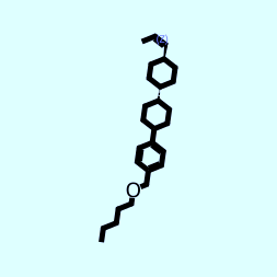 C/C=C\[C@H]1CC[C@H](C2CCC(c3ccc(COCCCCC)cc3)CC2)CC1